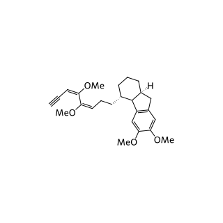 C#C/C=C(OC)\C(=C/CC[C@@H]1CCC[C@H]2Cc3cc(OC)c(OC)cc3C12)OC